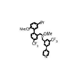 COc1ccc(C(C)C)cc1-c1ccc(C(F)(F)F)cc1CN(Cc1cc(-c2ccncc2)cc(C(F)(F)F)c1)OC